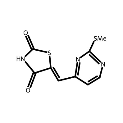 CSc1nccc(/C=C2\SC(=O)NC2=O)n1